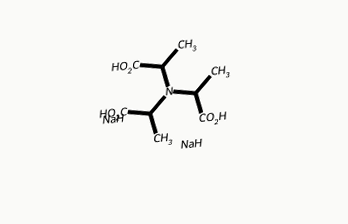 CC(C(=O)O)N(C(C)C(=O)O)C(C)C(=O)O.[NaH].[NaH]